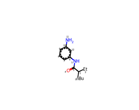 CCCCC(CC)C(=O)Nc1cccc(N)c1